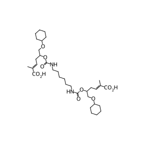 CC(=CCC(COC1CCCCC1)OC(=O)NCCCCCCNC(=O)OC(CC=C(C)C(=O)O)COC1CCCCC1)C(=O)O